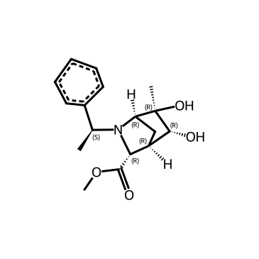 COC(=O)[C@H]1[C@H]2C[C@@H](N1[C@@H](C)c1ccccc1)[C@@](C)(O)[C@@H]2O